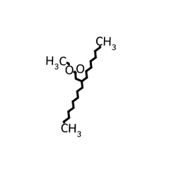 CCCCCCCCCC(CCCCCCCC)CC(=O)OCC